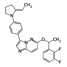 C/C=C1\CCCN1c1ccc(-c2cnc3ccc(OC(C)c4cccc(F)c4F)nn23)cc1